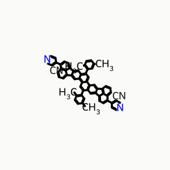 Cc1ccc(C)c(-c2cc3c4cc5c(cc4c(-c4cc(C)ccc4C)cc3c3cc4c(cc23)-c2ccc(-c3ccncc3C#N)c3cccc-4c23)-c2ccc(-c3ccncc3C#N)c3cccc-5c23)c1